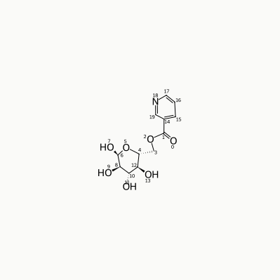 O=C(OC[C@H]1O[C@H](O)[C@H](O)[C@@H](O)[C@@H]1O)c1cccnc1